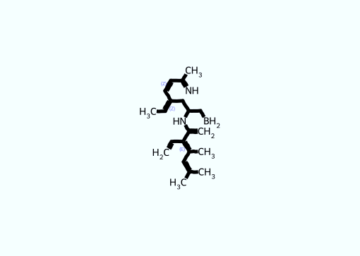 BCC(CC(/C=C\C(C)=N)=C/C)NC(=C)/C(C=C)=C(\C)C=C(C)C